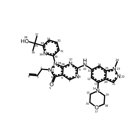 C=CCn1c(=O)c2cnc(Nc3cc(N4CCOCC4)c4cnn(C)c4c3)nc2n1-c1cccc(C(C)(C)O)n1